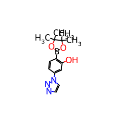 CC1(C)OB(c2ccc(-n3ccnn3)cc2O)OC1(C)C